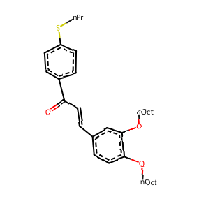 CCCCCCCCOc1ccc(C=CC(=O)c2ccc(SCCC)cc2)cc1OCCCCCCCC